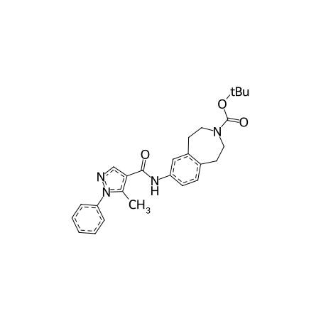 Cc1c(C(=O)Nc2ccc3c(c2)CCN(C(=O)OC(C)(C)C)CC3)cnn1-c1ccccc1